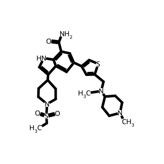 CCS(=O)(=O)N1CCC(c2c[nH]c3c(C(N)=O)cc(-c4csc(CN(C)C5CCN(C)CC5)c4)cc23)CC1